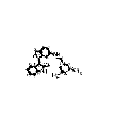 C[C@@H]1CN(CCNc2ccc3c(c2)C(=C2C(=O)Nc4ccccc42)OC3)C[C@H](C)O1